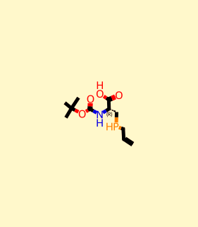 C=CCPC[C@H](NC(=O)OC(C)(C)C)C(=O)O